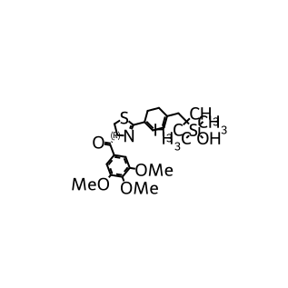 COc1cc(C(=O)[C@@H]2CSC(C3=CC=C(CC(C)(C)[Si](C)(C)O)CC3)=N2)cc(OC)c1OC